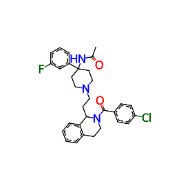 CC(=O)NC1(c2cccc(F)c2)CCN(CCC2c3ccccc3CCN2C(=O)c2ccc(Cl)cc2)CC1